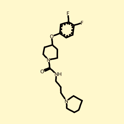 O=C(NCCCN1CCCCC1)N1CCC(Oc2ccc(F)c(F)c2)CC1